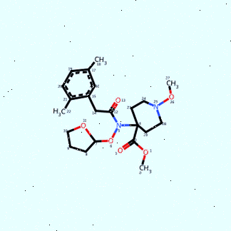 COC(=O)C1(N(OC2CCCO2)C(=O)Cc2cc(C)ccc2C)CCN(OC)CC1